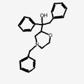 OC(Cc1ccccc1)(c1ccccc1)C1CN(Cc2ccccc2)CCO1